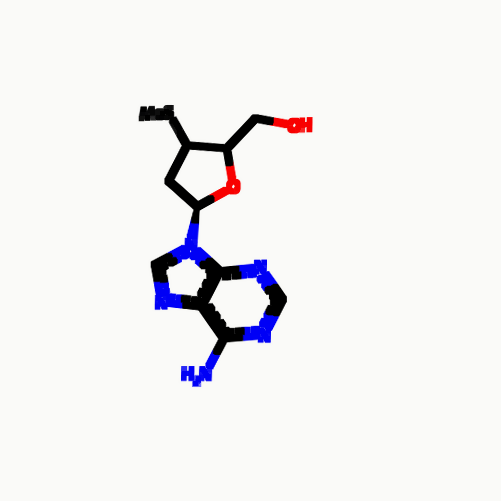 CSC1C[C@H](n2cnc3c(N)ncnc32)OC1CO